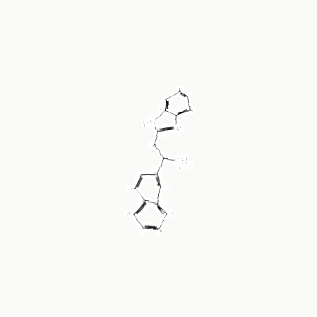 CC(Cc1nc2ccccc2[nH]1)c1ccc2ccccc2c1